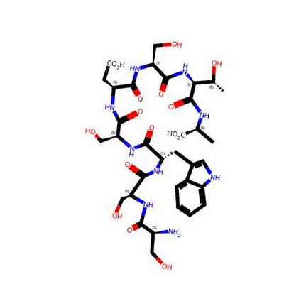 C[C@H](NC(=O)[C@@H](NC(=O)[C@H](CO)NC(=O)[C@H](CC(=O)O)NC(=O)[C@H](CO)NC(=O)[C@H](Cc1c[nH]c2ccccc12)NC(=O)[C@H](CO)NC(=O)[C@@H](N)CO)[C@@H](C)O)C(=O)O